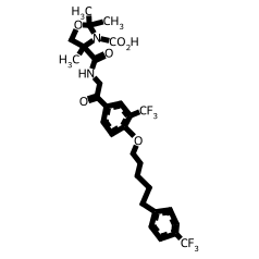 CC1(C)OCC(C)(C(=O)NCC(=O)c2ccc(OCCCCCc3ccc(C(F)(F)F)cc3)c(C(F)(F)F)c2)N1C(=O)O